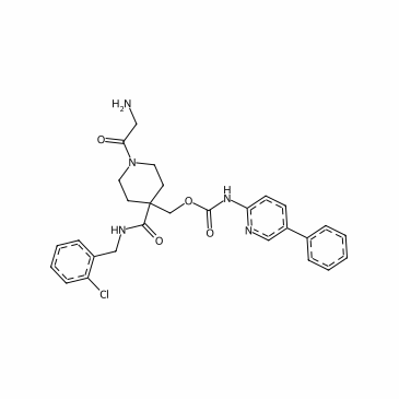 NCC(=O)N1CCC(COC(=O)Nc2ccc(-c3ccccc3)cn2)(C(=O)NCc2ccccc2Cl)CC1